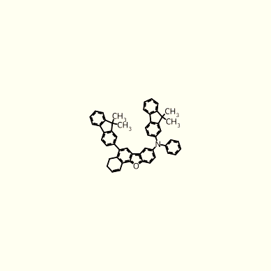 CC1(C)c2ccccc2-c2ccc(-c3cc4c(oc5ccc(N(c6ccccc6)c6ccc7c(c6)C(C)(C)c6ccccc6-7)cc54)c4c3CCC=C4)cc21